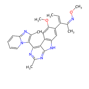 C/C=C(/C(C)=N\OC)c1cc2[nH]c3nc(C)nc(-c4c(C)nc5ccccn45)c3c2cc1OC